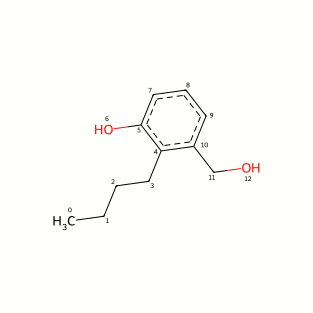 CCCCc1c(O)cccc1CO